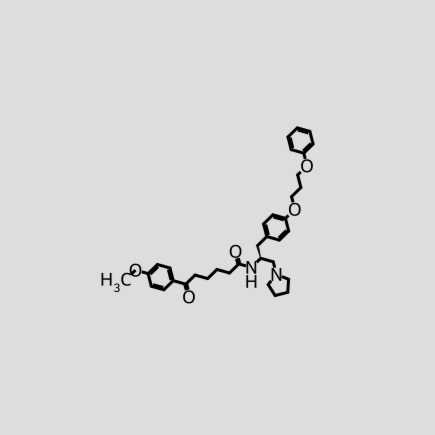 COc1ccc(C(=O)CCCCC(=O)N[C@@H](Cc2ccc(OCCCOc3ccccc3)cc2)CN2CCCC2)cc1